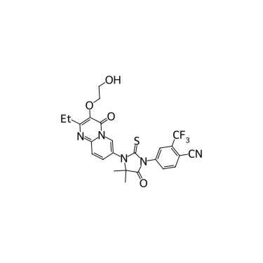 CCc1nc2ccc(N3C(=S)N(c4ccc(C#N)c(C(F)(F)F)c4)C(=O)C3(C)C)cn2c(=O)c1OCCO